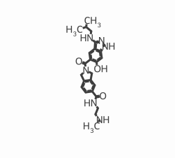 CNCCNC(=O)c1ccc2c(c1)CN(C(=O)c1cc3c(NCC(C)C)n[nH]c3cc1O)C2